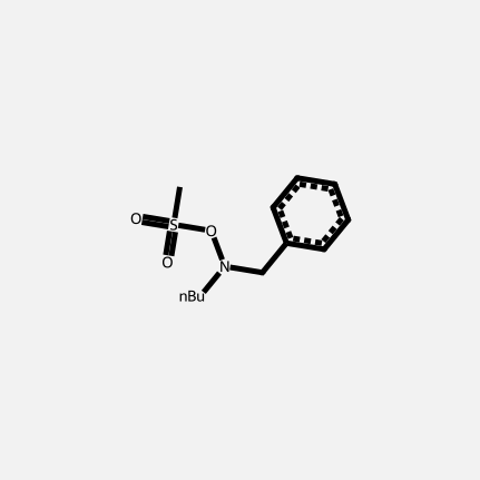 CCCCN(Cc1ccccc1)OS(C)(=O)=O